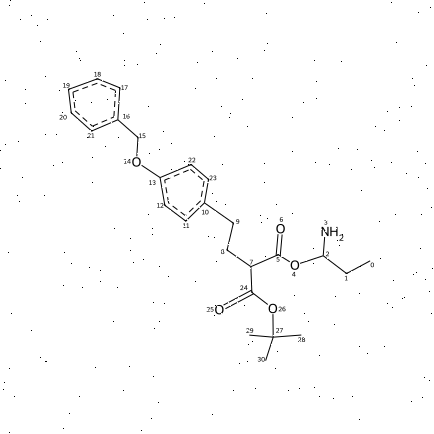 CCC(N)OC(=O)C(CCc1ccc(OCc2ccccc2)cc1)C(=O)OC(C)(C)C